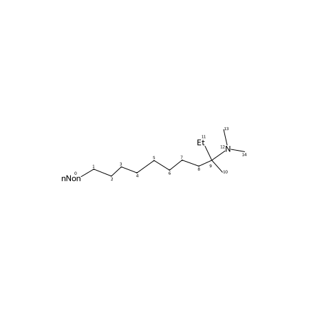 CCCCCCCCCCCCCCCCCC(C)(CC)N(C)C